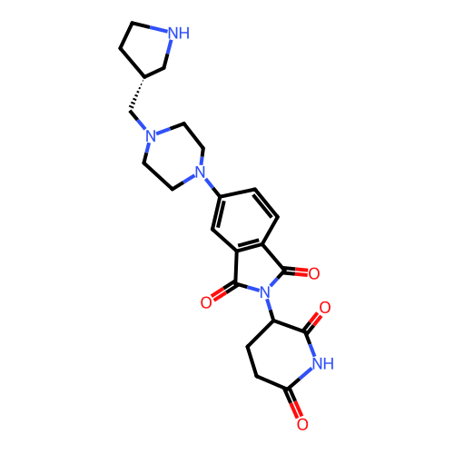 O=C1CCC(N2C(=O)c3ccc(N4CCN(C[C@@H]5CCNC5)CC4)cc3C2=O)C(=O)N1